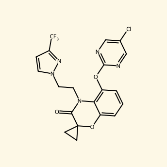 O=C1N(CCn2ccc(C(F)(F)F)n2)c2c(Oc3ncc(Cl)cn3)cccc2OC12CC2